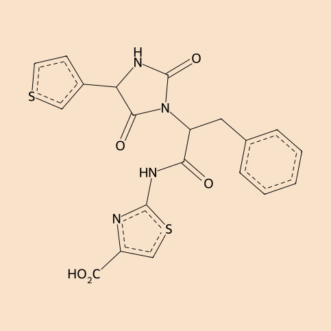 O=C(O)c1csc(NC(=O)C(Cc2ccccc2)N2C(=O)NC(c3ccsc3)C2=O)n1